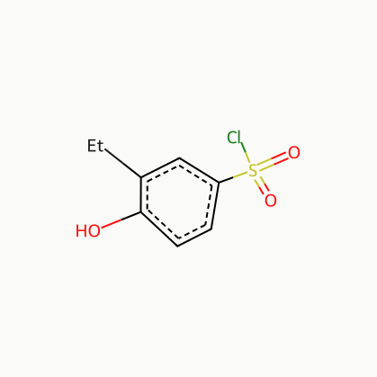 CCc1cc(S(=O)(=O)Cl)ccc1O